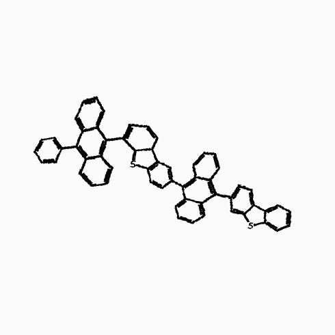 C1=CC2c3cc(-c4c5ccccc5c(-c5ccc6c(c5)sc5ccccc56)c5ccccc45)ccc3SC2C(c2c3ccccc3c(-c3ccccc3)c3ccccc23)=C1